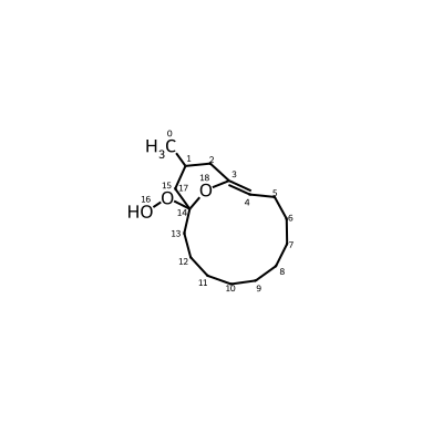 CC1C/C2=C\CCCCCCCCCC(OO)(C1)O2